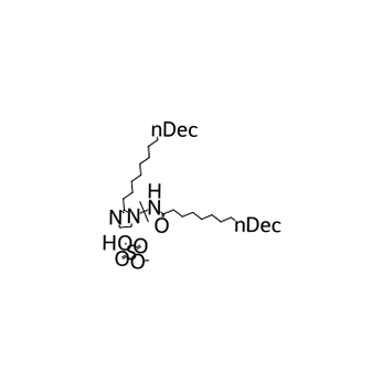 CCCCCCCCCCCCCCCCCCC1=NCCN1C(C)(C)NC(=O)CCCCCCCCCCCCCCCCC.COS(=O)(=O)O